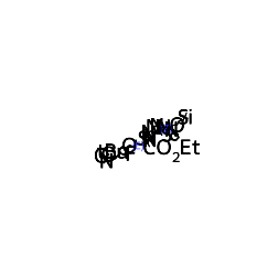 CCOC(=O)c1nc(N(C)c2cc(C)c(/N=c3\sc4ccccc4n3COCC[Si](C)(C)C)nn2)sc1/C=C(\C)COc1ccc(C#CCN(C)C(=O)OC(C)(C)C)cc1F